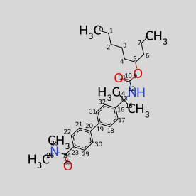 CCCCCC(CCC)OC(=O)NC(C)(C)c1ccc(-c2ccc(C(=O)N(C)C)cc2)cc1